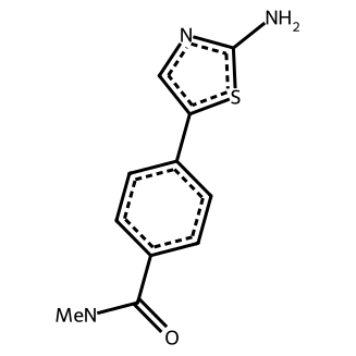 CNC(=O)c1ccc(-c2cnc(N)s2)cc1